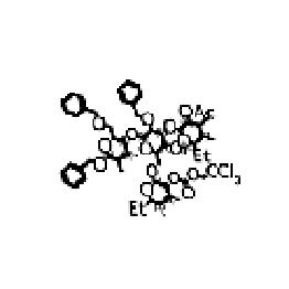 CCC1O[C@@H](O[C@@H]2C(OCc3ccccc3)[C@H](O[C@@H]3C(COCc4ccccc4)O[C@@H](OCc4ccccc4)C(C)[C@H]3C)OC(CO[C@H]3OC(CC)[C@@H](C)[C@H](C)C3OC(=O)OCC(Cl)(Cl)Cl)[C@H]2O)[C@@H](OC(C)=O)C(C)[C@H]1C